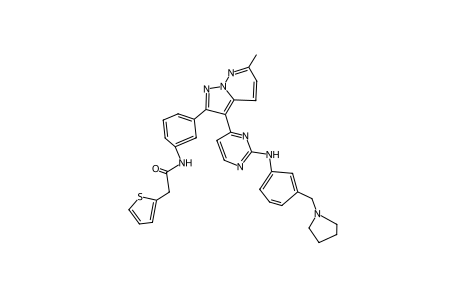 Cc1ccc2c(-c3ccnc(Nc4cccc(CN5CCCC5)c4)n3)c(-c3cccc(NC(=O)Cc4cccs4)c3)nn2n1